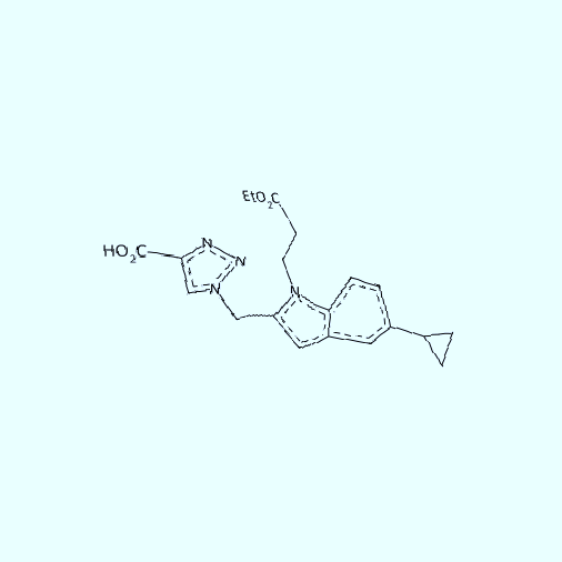 CCOC(=O)CCn1c(Cn2cc(C(=O)O)nn2)cc2cc(C3CC3)ccc21